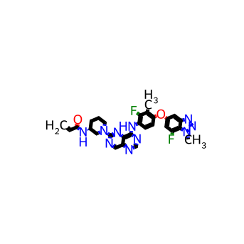 C=CC(=O)N[C@@H]1CCCN(c2ncc3ncnc(Nc4ccc(Oc5cc(F)c6c(c5)nnn6C)c(C)c4F)c3n2)C1